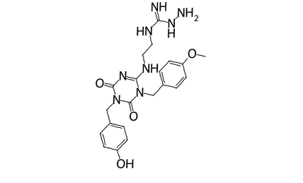 COc1ccc(Cn2c(NCCNC(=N)NN)nc(=O)n(Cc3ccc(O)cc3)c2=O)cc1